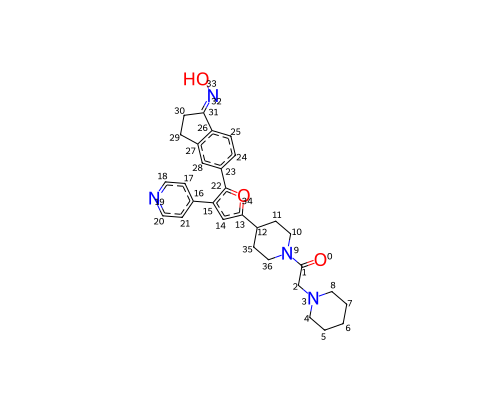 O=C(CN1CCCCC1)N1CCC(c2cc(-c3ccncc3)c(-c3ccc4c(c3)CCC4=NO)o2)CC1